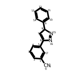 N#Cc1cccc(C2=CC(c3ccccc3)N=N2)c1